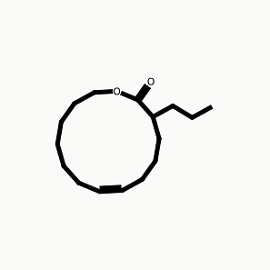 CCCC1CCC/C=C\CCCCCCOC1=O